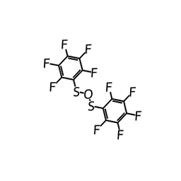 Fc1c(F)c(F)c(SOSc2c(F)c(F)c(F)c(F)c2F)c(F)c1F